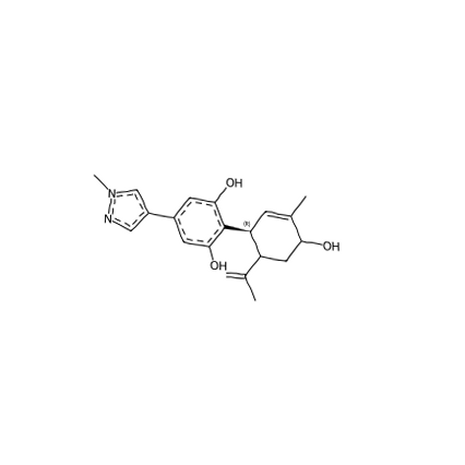 C=C(C)C1CC(O)C(C)=C[C@@H]1c1c(O)cc(-c2cnn(C)c2)cc1O